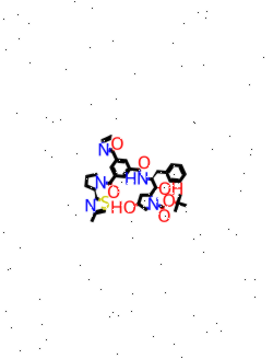 Cc1csc([C@H]2CCCN2C(=O)c2cc(C(=O)N[C@@H](Cc3ccccc3)[C@H](O)C3CC(O)CN3C(=O)OC(C)(C)C)cc(-c3ncco3)c2)n1